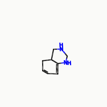 C1=CCC2CNCNC2=C1